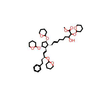 COC(=O)C(OC1CCCCO1)C(O)CCCC=CC[C@@H]1[C@@H](C=C[C@H](CCc2ccccc2)OC2CCCCO2)[C@H](OC2CCCCO2)C[C@@H]1OC1CCCCO1